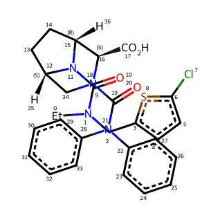 CCN(Cc1ccc(Cl)s1)C(=O)N1[C@H]2CC[C@@H]1[C@@H](C(=O)O)N(C(=O)N(c1ccccc1)c1ccccc1)C2